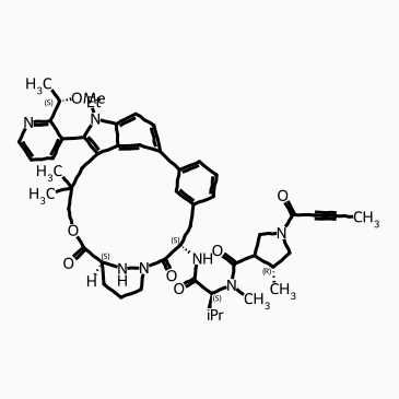 CC#CC(=O)N1CC(C(=O)N(C)[C@H](C(=O)N[C@H]2Cc3cccc(c3)-c3ccc4c(c3)c(c(-c3cccnc3[C@H](C)OC)n4CC)CC(C)(C)COC(=O)[C@@H]3CCCN(N3)C2=O)C(C)C)[C@@H](C)C1